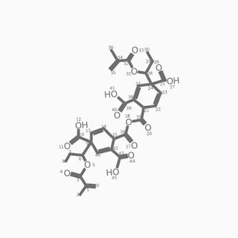 C=C(C)C(=O)OC(CC)C1(C(=O)O)C=CC(C(=O)OC(=O)C2C=CC(C(=O)O)(C(CC)OC(=O)C(=C)C)C=C2C(=O)O)C(C(=O)O)=C1